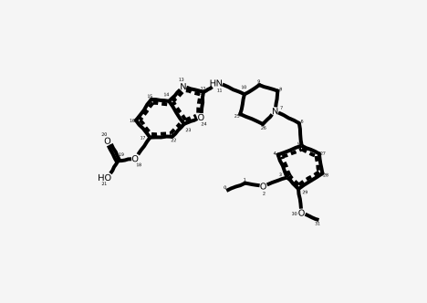 CCOc1cc(CN2CCC(Nc3nc4ccc(OC(=O)O)cc4o3)CC2)ccc1OC